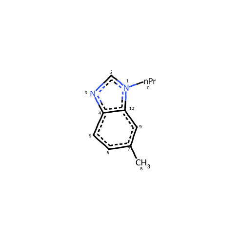 CCCn1cnc2ccc(C)cc21